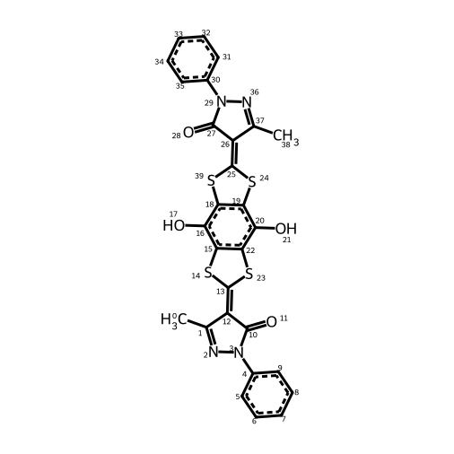 CC1=NN(c2ccccc2)C(=O)C1=C1Sc2c(O)c3c(c(O)c2S1)SC(=C1C(=O)N(c2ccccc2)N=C1C)S3